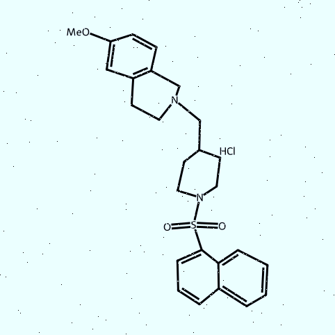 COc1ccc2c(c1)CCN(CC1CCN(S(=O)(=O)c3cccc4ccccc34)CC1)C2.Cl